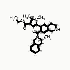 CCOC(=O)c1cc(-c2cc3c(cc2C(=O)N2Cc4ccccc4C[C@H]2C)CNCC3)n(C)c1C